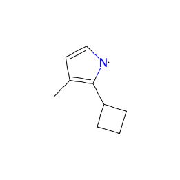 CC1=C(C2CCC2)[N]C=C1